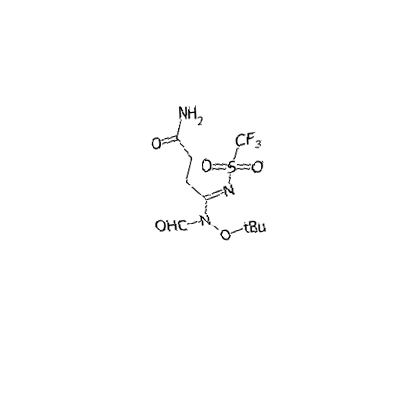 CC(C)(C)ON(C=O)C(CCC(N)=O)=NS(=O)(=O)C(F)(F)F